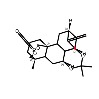 C=C1[C@H]2CCC34C(C2)[C@@]25CCC[C@@](C)(COS(=O)OC2)C5C[C@H]3OC(C)(C)O[C@@H]14